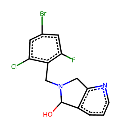 OC1c2cccnc2CN1Cc1c(F)cc(Br)cc1Cl